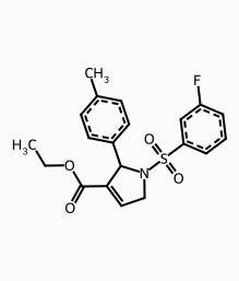 CCOC(=O)C1=CCN(S(=O)(=O)c2cccc(F)c2)C1c1ccc(C)cc1